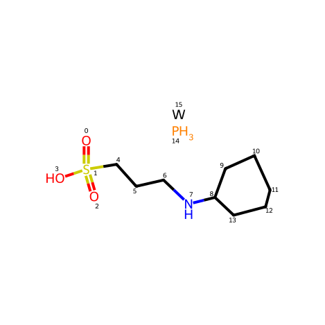 O=S(=O)(O)CCCNC1CCCCC1.P.[W]